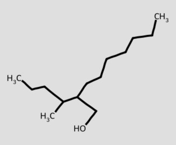 CCCCCCCC(CO)C(C)CCC